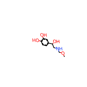 COCNCC(O)c1ccc(O)c(O)c1